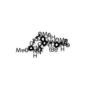 COCCOCCOc1cc(Nc2nccc(Oc3ccc(NC(=O)Nc4cc(C(C)(C)C)cc(CN[SH](=O)=O)c4OC)c4ccccc34)n2)cc(OC)c1